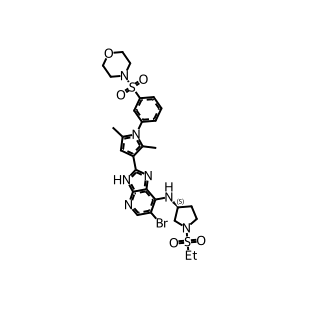 CCS(=O)(=O)N1CC[C@H](Nc2c(Br)cnc3[nH]c(-c4cc(C)n(-c5cccc(S(=O)(=O)N6CCOCC6)c5)c4C)nc23)C1